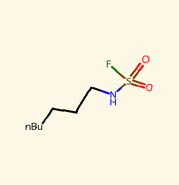 CCCCCCCNS(=O)(=O)F